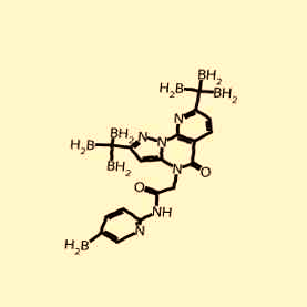 Bc1ccc(NC(=O)Cn2c(=O)c3ccc(C(B)(B)B)nc3n3nc(C(B)(B)B)cc23)nc1